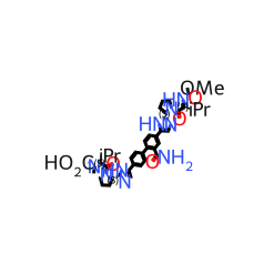 COC(=O)N[C@H](C(=O)N1CCC[C@H]1c1ncc(-c2ccc(-c3ccc(-c4cnc([C@@H]5CCCN5C(=O)[C@H](C(C)C)N(C)C(=O)O)[nH]4)cc3)c(C(N)=O)c2)[nH]1)C(C)C